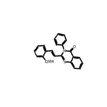 COc1ccccc1/C=C/c1nc2ccccc2c(=O)n1-c1ccccc1